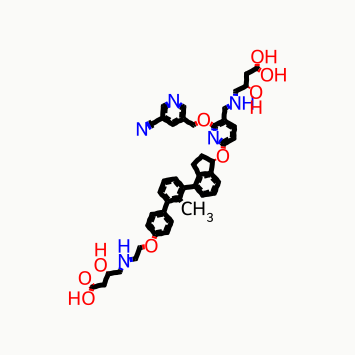 Cc1c(-c2ccc(OCCNC[C@@H](O)CC(=O)O)cc2)cccc1-c1cccc2c1CC[C@@H]2Oc1ccc(CNC[C@@H](O)CC(O)O)c(OCc2cncc(C#N)c2)n1